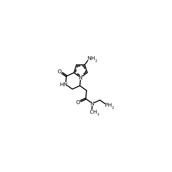 CN(CP)C(=O)CC1CNC(=O)c2cc(N)cn21